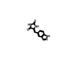 O=C1NC(=S)N/C1=C\c1ccc2[nH]ncc2c1